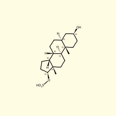 C[C@]12CC[C@H](O)C[C@@H]1CC[C@H]1[C@H]3CC[C@H](OS(=O)(=O)O)[C@@]3(C)CC[C@@H]12